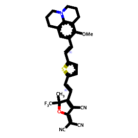 COc1c(/C=C/c2ccc(/C=C/C3=C(C#N)C(=C(C#N)C#N)OC3(C)C(F)(F)F)s2)cc2c3c1CCCN3CCC2